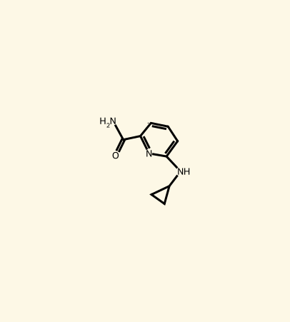 NC(=O)c1[c]ccc(NC2CC2)n1